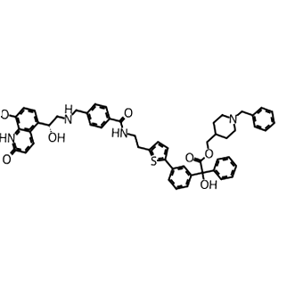 O=C(NCCc1ccc(-c2cccc(C(O)(C(=O)OCC3CCN(Cc4ccccc4)CC3)c3ccccc3)c2)s1)c1ccc(CNC[C@H](O)c2ccc(O)c3[nH]c(=O)ccc23)cc1